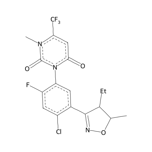 CCC1C(c2cc(-n3c(=O)cc(C(F)(F)F)n(C)c3=O)c(F)cc2Cl)=NOC1C